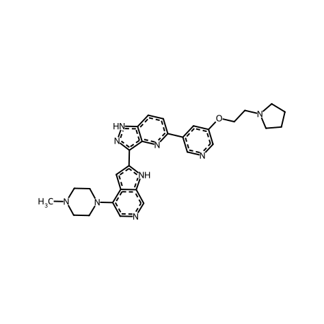 CN1CCN(c2cncc3[nH]c(-c4n[nH]c5ccc(-c6cncc(OCCN7CCCC7)c6)nc45)cc23)CC1